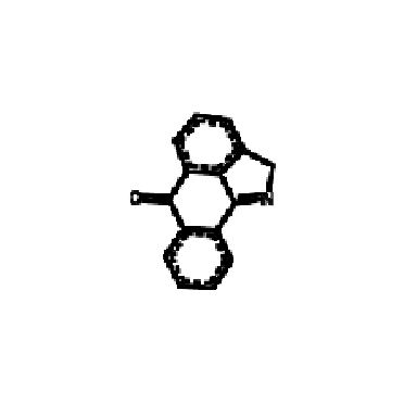 O=C1c2ccccc2C2=NCc3cccc1c32